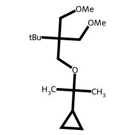 COCC(COC)(COC(C)(C)C1CC1)C(C)(C)C